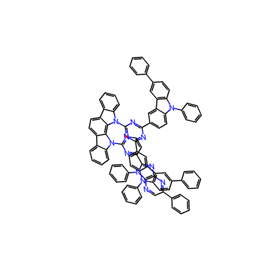 c1ccc(-c2ccc3c(c2)c2cc(-c4nc(-c5ccc6c(c5)c5cc(-c7ccccc7)ccc5n6-c5ccccc5)nc(-n5c6ccccc6c6ccc7c8ccccc8n(-c8nccc(-c9nc%10nc(-c%11ccccc%11)cnc%10n9-c9ccccc9)n8)c7c65)n4)ccc2n3-c2ccccc2)cc1